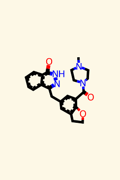 CN1CCN(C(=O)c2cc(Cc3n[nH]c(=O)c4ccccc34)cc3c2OCC3)CC1